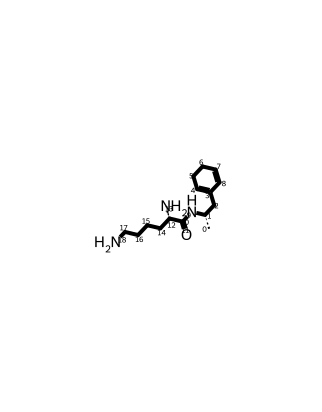 C[C@@H](CC1=CCCC=C1)NC(=O)[C@@H](N)CCCCN